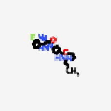 CCCC(NC(=O)c1ccc(-n2[nH]c3c(nnc4c(F)cccc43)c2=O)cc1)N1CCCC1